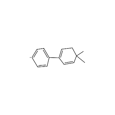 CC1(C)C=CC(c2cc[c]cc2)=CC1